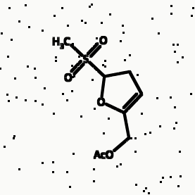 CC(=O)OCC1=CCC(S(C)(=O)=O)O1